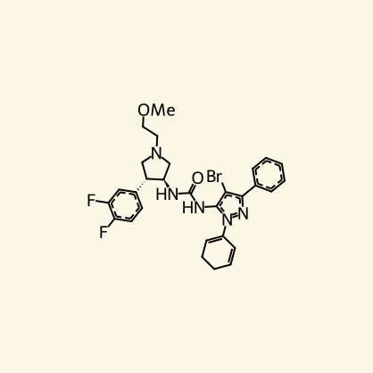 COCCN1C[C@@H](NC(=O)Nc2c(Br)c(-c3ccccc3)nn2C2=CCCC=C2)[C@H](c2ccc(F)c(F)c2)C1